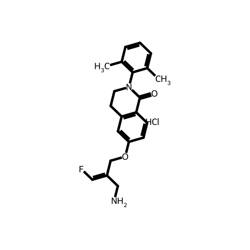 Cc1cccc(C)c1N1CCc2cc(OC/C(=C\F)CN)ccc2C1=O.Cl